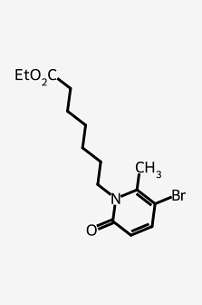 CCOC(=O)CCCCCCn1c(C)c(Br)ccc1=O